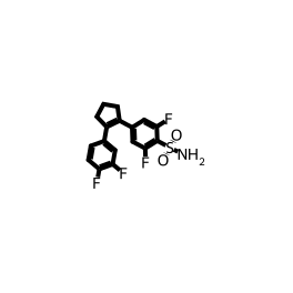 NS(=O)(=O)c1c(F)cc(C2=C(c3ccc(F)c(F)c3)CCC2)cc1F